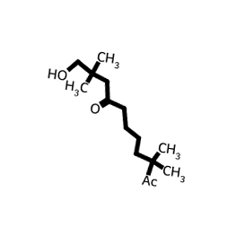 CC(=O)C(C)(C)CCCCC(=O)CC(C)(C)CO